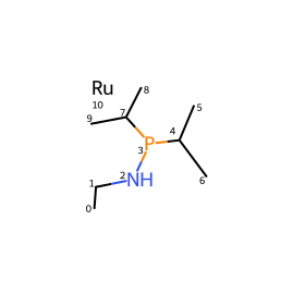 CCNP(C(C)C)C(C)C.[Ru]